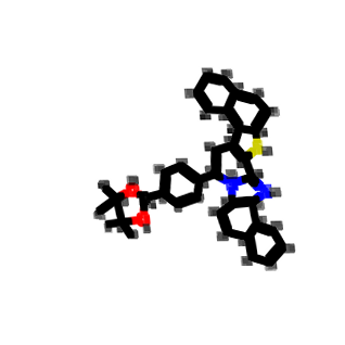 CC1(C)OB(c2ccc(-c3cc4c(sc5ccc6ccccc6c54)c4nc5c6ccccc6ccc5n34)cc2)OC1(C)C